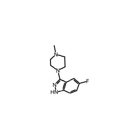 CN1CCN(c2n[nH]c3ccc(F)cc23)CC1